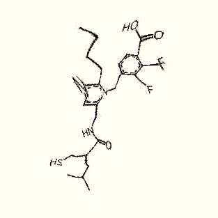 CCCCc1ncc(CNC(=O)C(CS)CC(C)C)n1Cc1ccc(C(=O)O)c(F)c1F